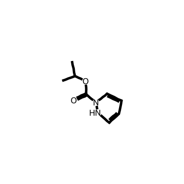 CC(C)OC(=O)N1C=CC=CN1